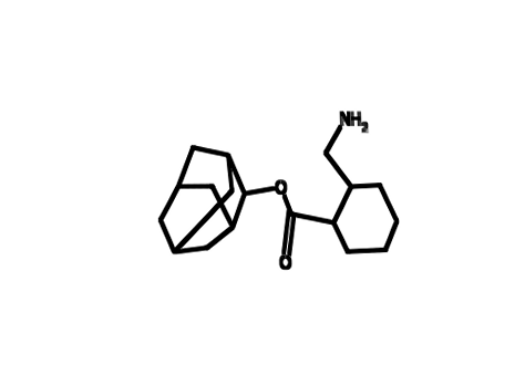 NCC1CCCCC1C(=O)OC1C2CC3CC(C2)CC1C3